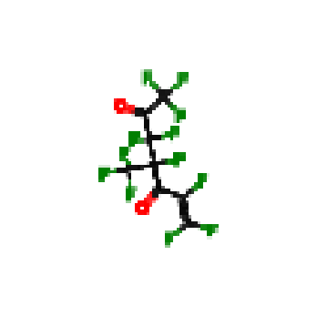 O=C(C(F)(F)F)C(F)(F)C(F)(C(=O)C(F)=C(F)F)C(F)(F)F